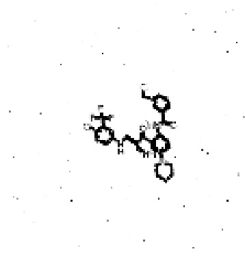 N=C/C(=C\Nc1ccc(Cl)c(C(F)(F)F)c1)C(=O)c1cc(N2CCCCC2)ccc1NC(=O)c1cccc(CCl)c1